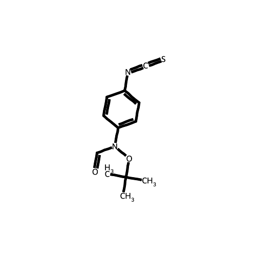 CC(C)(C)ON(C=O)c1ccc(N=C=S)cc1